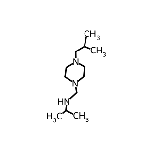 CC(C)CN1CCN(CNC(C)C)CC1